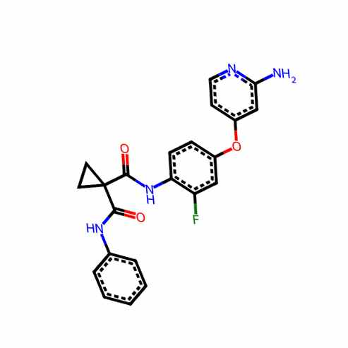 Nc1cc(Oc2ccc(NC(=O)C3(C(=O)Nc4ccccc4)CC3)c(F)c2)ccn1